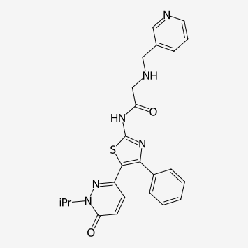 CC(C)n1nc(-c2sc(NC(=O)CNCc3cccnc3)nc2-c2ccccc2)ccc1=O